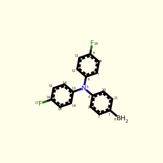 Bc1ccc(N(c2ccc(F)cc2)c2ccc(F)cc2)cc1